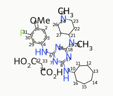 COc1ccc(Nc2nc(NC3CCCCCC3)nc(N(C)C3CCN(C)CC3)n2)cc1F.O=C(O)CC(=O)O